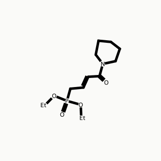 CCOP(=O)(C/C=C/C(=O)N1CCCCC1)OCC